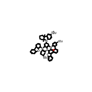 CC(C)(C)c1ccc2c(c1)B1c3c(cc(N4c5ccc(C(C)(C)C)cc5C5(C)CCCCC45C)cc3N2c2cccc3c2oc2ccccc23)N(c2ccc(C(C)(C)C)cc2-c2ccccc2)c2ccc3c(sc4ccccc43)c21